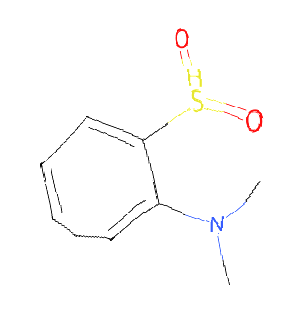 CN(C)c1ccccc1[SH](=O)=O